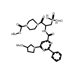 CCCCOC(=O)N1CCN(C(=O)C(CP(=O)(O)O)NC(=O)c2cc(N3CCC(OC)C3)nc(-c3ccccc3)n2)CC1.Cl